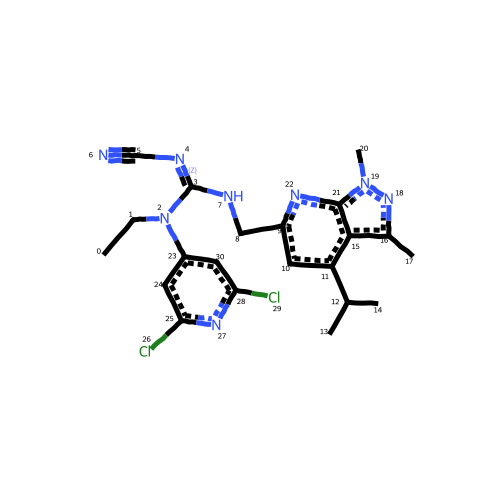 CCN(/C(=N\C#N)NCc1cc(C(C)C)c2c(C)nn(C)c2n1)c1cc(Cl)nc(Cl)c1